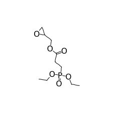 CCOP(=O)(CCC(=O)OCC1CO1)OCC